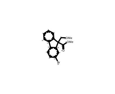 COCC1(C(=O)OC)c2ccccc2-c2ccc(Br)cc21